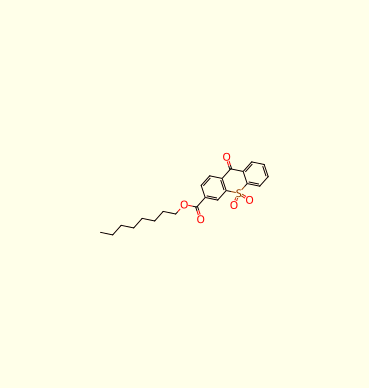 CCCCCCCCOC(=O)c1ccc2c(c1)S(=O)(=O)c1ccccc1C2=O